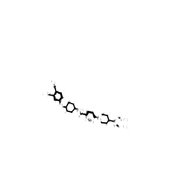 COC(OC)C1CCN(c2ccc(C(=O)NC3CCC(Oc4ccc(C#N)c(Cl)c4)CC3)nn2)CC1